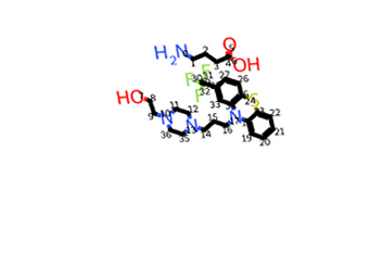 NCCCC(=O)O.OCCN1CCN(CCCN2c3ccccc3Sc3ccc(C(F)(F)F)cc32)CC1